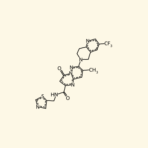 Cc1cc2nc(C(=O)NCc3cncs3)cc(=O)n2nc1N1CCc2ncc(C(F)(F)F)cc2C1